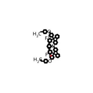 C=Cc1ccc(Oc2ccc(C3(c4cc(F)cc(F)c4F)c4ccccc4-c4ccc(N(c5ccccc5)c5ccc6c(c5)C(c5ccc(Oc7ccc(C=C)cc7)cc5)(c5cc(F)cc(F)c5F)c5ccccc5-6)cc43)cc2)cc1